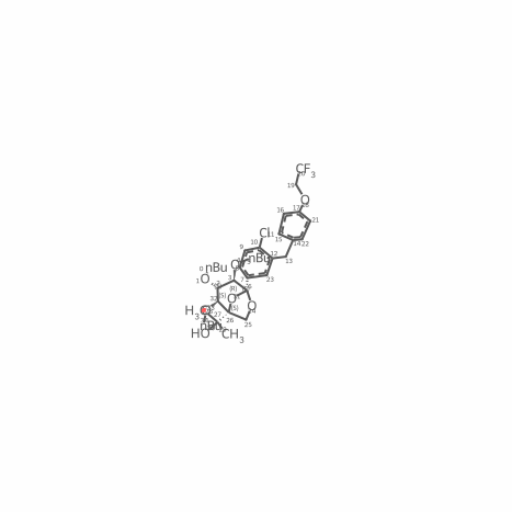 CCCCO[C@@H]1[C@@H](OCCCC)[C@@]2(c3ccc(Cl)c(Cc4ccc(OCC(F)(F)F)cc4)c3)OC[C@](C(C)(C)O)(O2)[C@H]1OCCCC